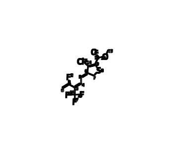 C=C(F)/C(=C\C=C1/CSC(C(=O)OC)=C1Cl)C(F)(F)F